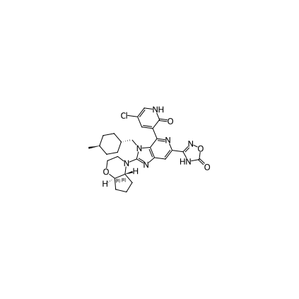 C[C@H]1CC[C@H](Cn2c(N3CCO[C@@H]4CCC[C@H]43)nc3cc(-c4noc(=O)[nH]4)nc(-c4cc(Cl)c[nH]c4=O)c32)CC1